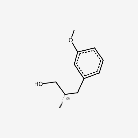 COc1cccc(C[C@H](C)CO)c1